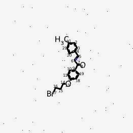 Cc1ccc(/C=C/C(=O)c2ccc(OCCCBr)cc2)cc1